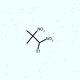 CCC([N+](=O)[O-])C(C)(C)[N+](=O)[O-]